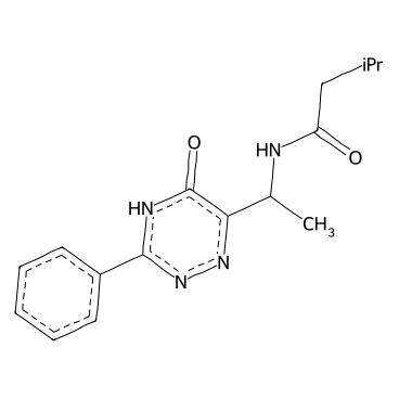 CC(C)CC(=O)NC(C)c1nnc(-c2ccccc2)[nH]c1=O